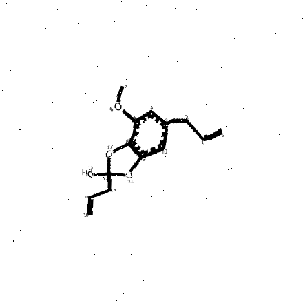 C=CCc1cc(OC)c2c(c1)OC(O)(CC=C)O2